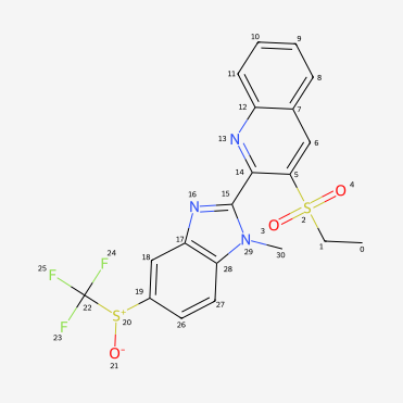 CCS(=O)(=O)c1cc2ccccc2nc1-c1nc2cc([S+]([O-])C(F)(F)F)ccc2n1C